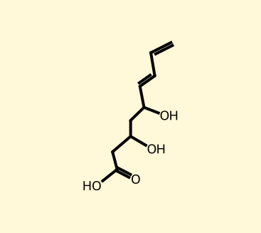 C=C/C=C/C(O)CC(O)CC(=O)O